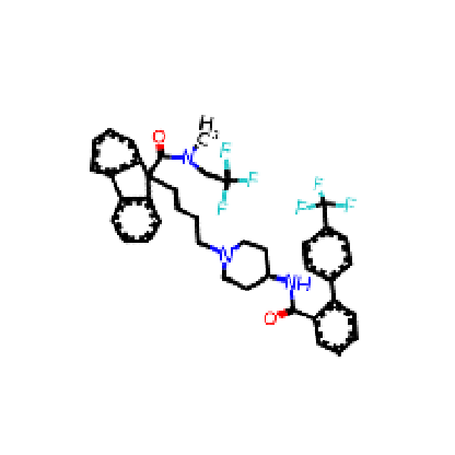 CN(CC(F)(F)F)C(=O)C1(CCCCN2CCC(NC(=O)c3ccccc3-c3ccc(C(F)(F)F)cc3)CC2)c2ccccc2-c2ccccc21